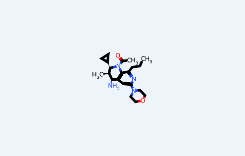 CCCc1nc(N2CCOCC2)cc2c1N(C(C)=O)[C@@H](C1CC1)[C@H](C)[C@H]2N